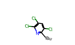 CC[C](C)c1nc(Cl)c(Cl)cc1Cl